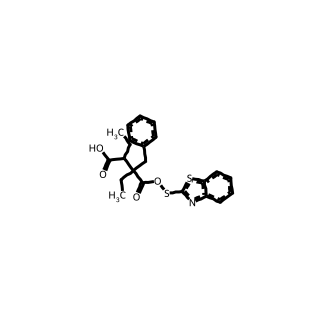 CCC(C(=O)O)C(CC)(Cc1ccccc1)C(=O)OSc1nc2ccccc2s1